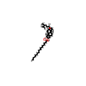 CCCCCCCCCCCCCCCCC(=O)OC1CC[C@@]2(C)C(CC[C@H]3[C@@H]4CC[C@H]([C@H](C)CC[C@@H](CC)C(C)C)[C@@]4(C)CC[C@@H]32)C1